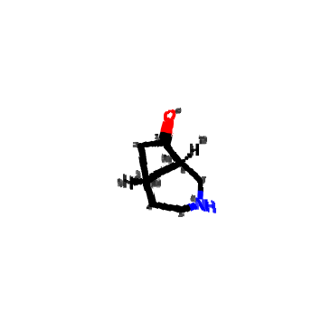 O=C1C[C@H]2CCNC[C@H]12